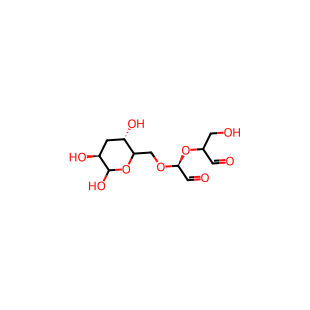 O=CC(CO)O[C@@H](C=O)OCC1OC(O)[C@@H](O)C[C@@H]1O